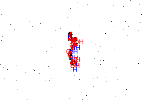 O=C(NCCCNC(=O)c1cccc(C(O)(C(=O)OCC2CCN(Cc3ccccc3)CC2)c2ccccc2)c1)c1ccc(CNCC(O)c2ccc(O)c3[nH]c(=O)ccc23)cc1